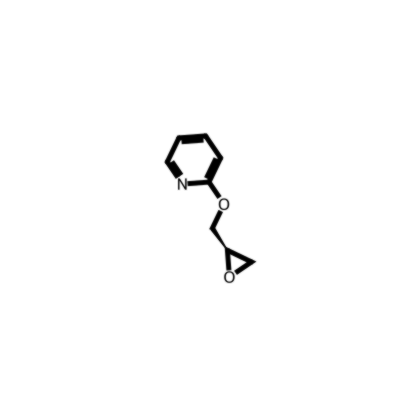 c1ccc(OC[C@H]2CO2)nc1